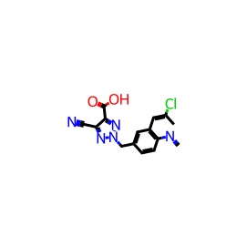 C=Nc1ccc(Cn2nc(C#N)c(C(=O)O)n2)cc1/C=C(\C)Cl